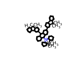 CC1(C)c2ccccc2-c2cc(-c3c4ccccc4c(N4c5ccccc5[Si](C)(C)c5ccccc54)c4ccc(-c5ccc6c(c5)C(C)(C)c5ccccc5-6)cc34)ccc21